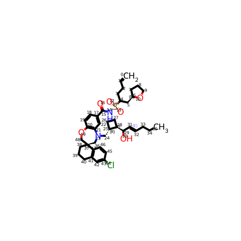 C=CCCC(C[C@H]1CCCO1)S(=O)(=O)NC(=O)c1ccc2c(c1)N(C[C@@H]1CC[C@H]1C(O)/C=C/CCC)C[C@@]1(CCCc3cc(Cl)ccc31)CO2